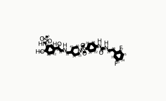 CS(=O)(=O)Nc1cc([C@@H](O)CNCC2CCN(S(=O)(=O)c3ccc(NC(=O)NCCc4cc(F)ccc4F)cc3)CC2)ccc1O